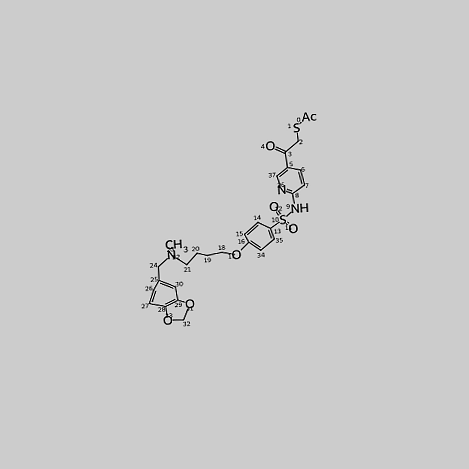 CC(=O)SCC(=O)c1ccc(NS(=O)(=O)c2ccc(OCCCCN(C)Cc3ccc4c(c3)OCO4)cc2)nc1